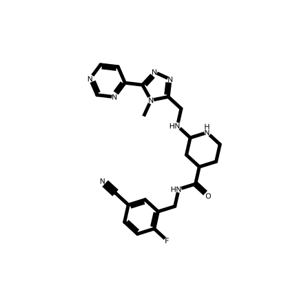 Cn1c(CNC2CC(C(=O)NCc3cc(C#N)ccc3F)CCN2)nnc1-c1ccncn1